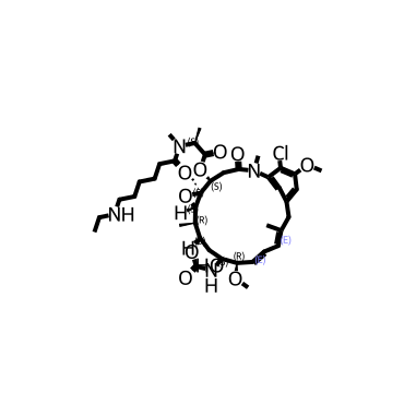 CCNCCCCCC(=O)N(C)[C@@H](C)C(=O)O[C@H]1CC(=O)N(C)c2cc(cc(OC)c2Cl)C/C(C)=C/C=C/[C@@H](OC)[C@@]2(O)C[C@H](OC(=O)N2)[C@@H](C)[C@@H]2O[C@@]12C